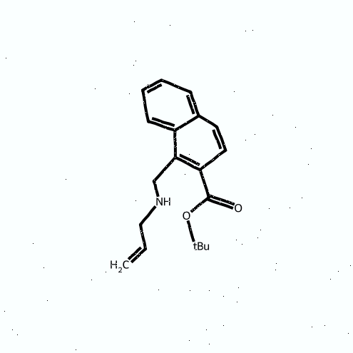 C=CCNCc1c(C(=O)OC(C)(C)C)ccc2ccccc12